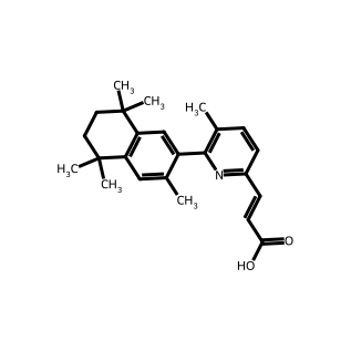 Cc1cc2c(cc1-c1nc(C=CC(=O)O)ccc1C)C(C)(C)CCC2(C)C